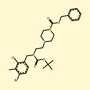 Cc1c(Br)ccc(CN(CCN2CCN(C(=O)OCc3ccccc3)CC2)C(=O)OC(C)(C)C)c1Cl